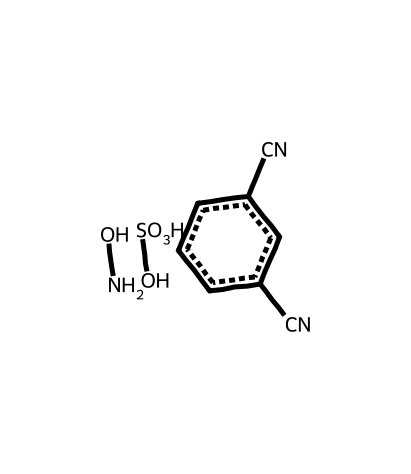 N#Cc1cccc(C#N)c1.NO.O=S(=O)(O)O